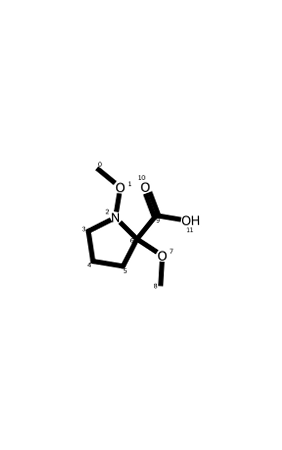 CON1CCCC1(OC)C(=O)O